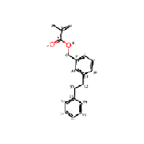 C=C(C)C(=O)OCc1cccc(CCc2ccccc2)c1